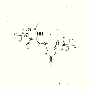 CC(=O)N[C@@H](CS[C@H]1CC(=O)C[C@@H]1O[Si](C)(C)C(C)(C)C)C(=O)OC(C)(C)C